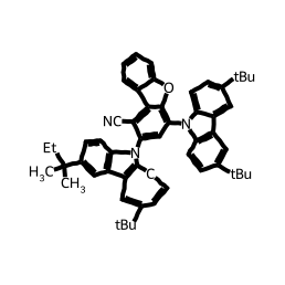 CCC(C)(C)c1ccc2c(c1)c1c(n2-c2cc(-n3c4ccc(C(C)(C)C)cc4c4cc(C(C)(C)C)ccc43)c3oc4ccccc4c3c2C#N)CC=CC(C(C)(C)C)=C1